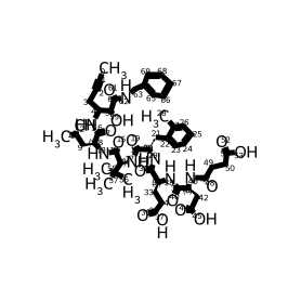 CC#CCC(NC(=O)[C@H](CC(C)C)NC(=O)[C@@H](NC(=O)[C@H](Cc1ccccc1C)NC(=O)[C@H](CCC(=O)O)NC(=O)[C@H](CC(=O)O)NC(=O)CCC(=O)O)C(C)(C)C)C(O)C(=O)NCc1ccccc1